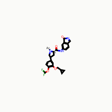 CC(=O)N1CC(c2ccc(OC(F)F)c(OCC3CC3)c2)C[C@@H]1C(=O)Nc1ccc2c(c1)C(=O)N=C2